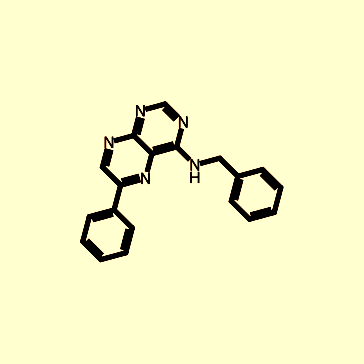 c1ccc(CNc2ncnc3ncc(-c4ccccc4)nc23)cc1